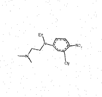 CCN(CCN(C)C)c1ccc([N+](=O)[O-])c(C#N)c1